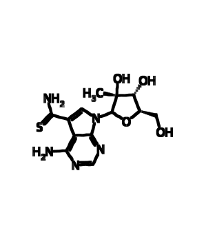 C[C@]1(O)C(n2cc(C(N)=S)c3c(N)ncnc32)O[C@H](CO)[C@H]1O